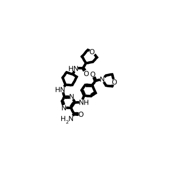 NC(=O)c1ncc(NC2CCC(NC(=O)C3CCOCC3)CC2)nc1Nc1ccc(C(=O)N2CCOCC2)cc1